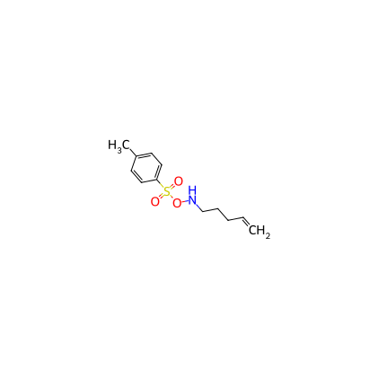 C=CCCCNOS(=O)(=O)c1ccc(C)cc1